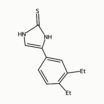 CCc1ccc(-c2c[nH]c(=S)[nH]2)cc1CC